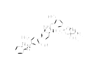 Cc1cc(-n2nc3ccccc3n2)c(O)cc1-c1ccc2nn(Cc3cc(C(C)(C)CC(C)(C)C)ccc3O)nc2c1